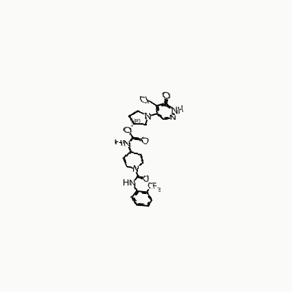 O=C(NC1CCN(C(=O)Nc2ccccc2C(F)(F)F)CC1)O[C@@H]1CCN(c2cn[nH]c(=O)c2Cl)C1